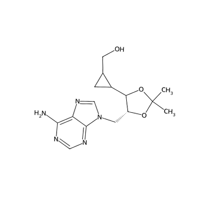 CC1(C)OC(C2CC2CO)[C@@H](Cn2cnc3c(N)ncnc32)O1